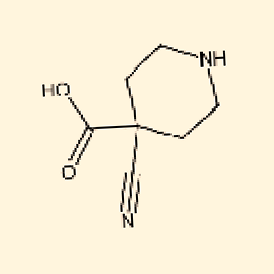 N#CC1(C(=O)O)CCNCC1